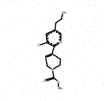 CC(C)(C)OC(=O)N1CC=C(c2ncc(CCO)cc2Cl)CC1